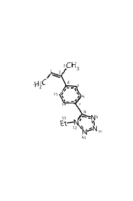 [CH2]/C=C(/C)c1ccc(-c2nnnn2CC)cc1